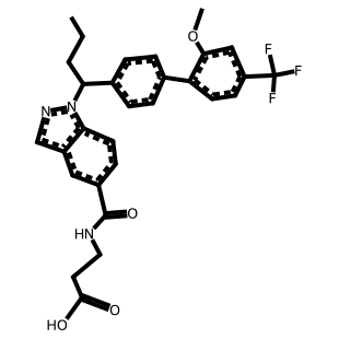 CCCC(c1ccc(-c2ccc(C(F)(F)F)cc2OC)cc1)n1ncc2cc(C(=O)NCCC(=O)O)ccc21